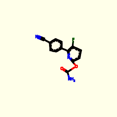 N#Cc1ccc(-c2nc(OC(N)=O)ccc2F)cc1